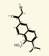 CN(C)c1ccc2cc(C(=O)CBr)ccc2c1C(=O)O